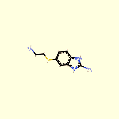 NCCSc1ccc2[nH]c(N)nc2c1